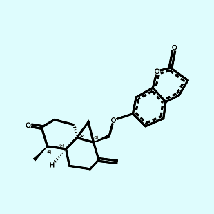 C=C1CC[C@H]2[C@@H](C)C(=O)CC[C@@]23C[C@]13COc1ccc2ccc(=O)oc2c1